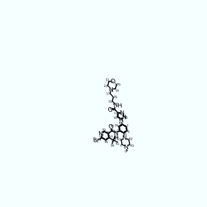 CN1CCN(c2ccc(-n3cc(C(=O)NCCCN4CCOCC4)nn3)cc2NC(=O)c2cnc(Br)cc2C(C)(C)C)CC1